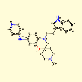 CC(C)N1CCC2(CC1)CN(CCc1c[nH]c3ccccc13)c1ccc(Nc3ccncc3)cc1O2